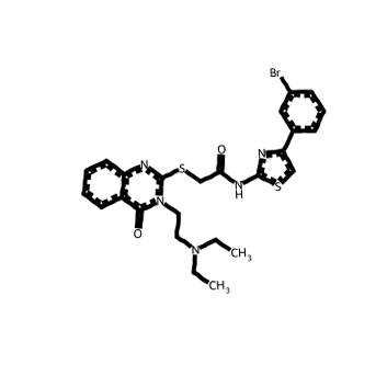 CCN(CC)CCn1c(SCC(=O)Nc2nc(-c3cccc(Br)c3)cs2)nc2ccccc2c1=O